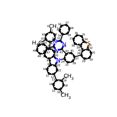 Cc1ccc(-c2ccc3c4ccc(-c5ccc(C)cc5C)cc4n(-c4ccc(-c5cccc6sc7ccccc7c56)cc4-c4nc(-c5ccccc5)nc(-c5ccccc5)n4)c3c2)c(C)c1